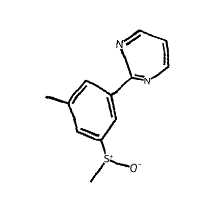 Cc1cc(-c2ncccn2)cc([S+](C)[O-])c1